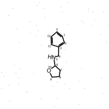 c1ccc(CN[C]2CCCO2)cc1